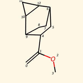 C=C(OC)C1CC2CCC1C1CC21